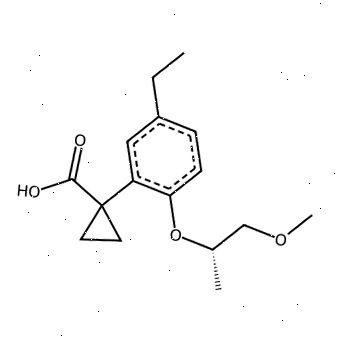 CCc1ccc(O[C@@H](C)COC)c(C2(C(=O)O)CC2)c1